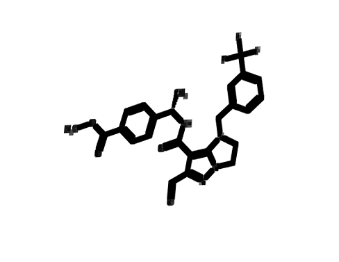 COC(=O)c1ccc([C@H](C)NC(=O)c2c(C=O)nn3c2N(Cc2cccc(C(F)(F)F)c2)CC3)cc1